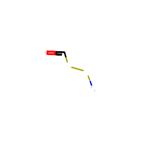 NSSC=O